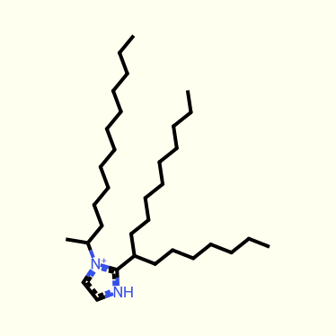 CCCCCCCCCCCC(C)[n+]1cc[nH]c1C(CCCCCCC)CCCCCCCCC